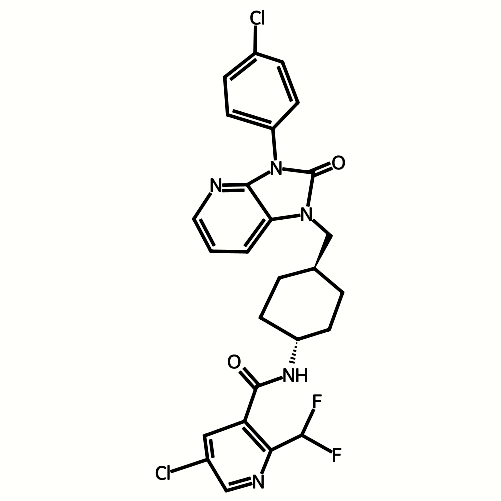 O=C(N[C@H]1CC[C@H](Cn2c(=O)n(-c3ccc(Cl)cc3)c3ncccc32)CC1)c1cc(Cl)cnc1C(F)F